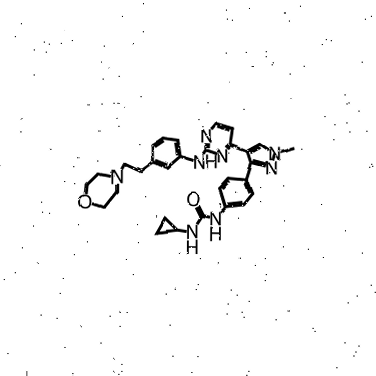 Cn1cc(-c2ccnc(Nc3cccc(CCN4CCOCC4)c3)n2)c(-c2ccc(NC(=O)NC3CC3)cc2)n1